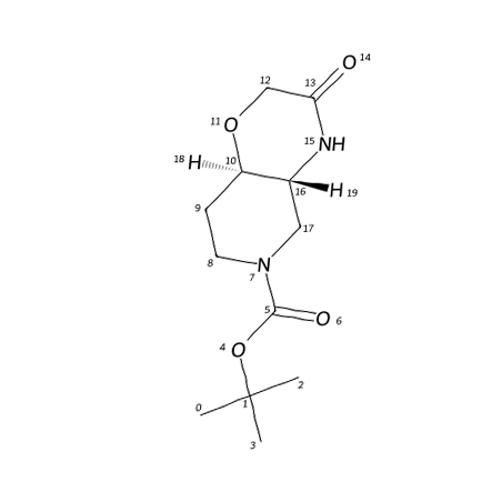 CC(C)(C)OC(=O)N1CC[C@H]2OCC(=O)N[C@@H]2C1